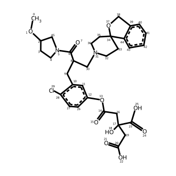 COC1CCN(C(=O)C(Cc2cc(OC(=O)CC(O)(CC(=O)O)C(=O)O)ccc2Cl)CN2CCC3(CC2)OCc2ccccc23)C1